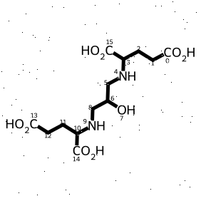 O=C(O)CCC(NCC(O)CNC(CCC(=O)O)C(=O)O)C(=O)O